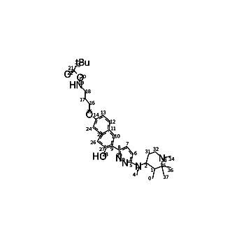 CC1C(N(C)c2ccc(-c3cc4ccc(OCCCNOC(=O)C(C)(C)C)cc4cc3O)nn2)CCN(C)C1(C)C